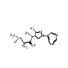 CCN(C(=O)C(C)C[S+](C)[O-])c1cn(-c2cccnc2)nc1C